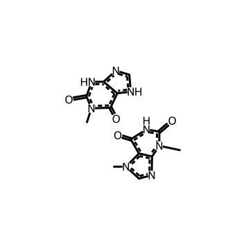 Cn1c(=O)[nH]c2nc[nH]c2c1=O.Cn1cnc2c1c(=O)[nH]c(=O)n2C